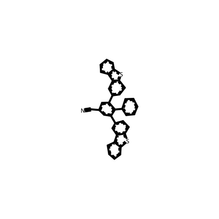 N#Cc1cc(-c2ccc3sc4ccccc4c3c2)c(-c2ccccc2)c(-c2ccc3sc4ccccc4c3c2)c1